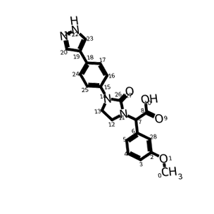 COc1cccc(C(C(=O)O)N2CCN(c3ccc(-c4cn[nH]c4)cc3)C2=O)c1